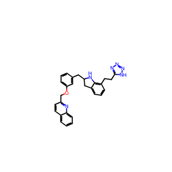 c1cc(CC2Cc3cccc(CCc4nnn[nH]4)c3N2)cc(OCc2ccc3ccccc3n2)c1